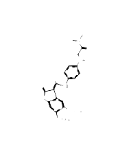 CCC(Nc1ccc(N(CC(=O)N(C)C)C(C)=O)cc1)=C1C(=O)Nc2cc(OC)c(OC)cc21